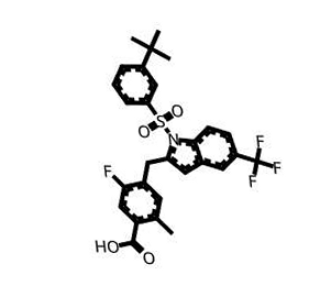 Cc1cc(Cc2cc3cc(C(F)(F)F)ccc3n2S(=O)(=O)c2cccc(C(C)(C)C)c2)c(F)cc1C(=O)O